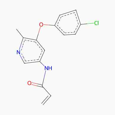 C=CC(=O)Nc1cnc(C)c(Oc2ccc(Cl)cc2)c1